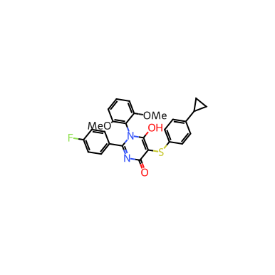 COc1cccc(OC)c1-n1c(-c2ccc(F)cc2)nc(=O)c(Sc2ccc(C3CC3)cc2)c1O